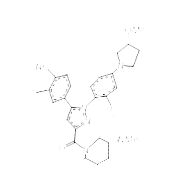 CN[C@@H]1CCCN(C(=O)c2cc(-c3ccc(C#N)c(F)c3)n(-c3ccc(N4CC[C@@H](OC)C4)cc3F)n2)C1